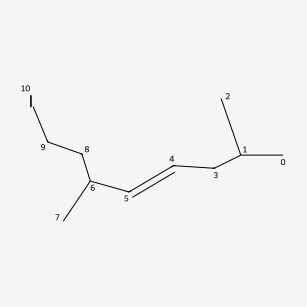 CC(C)CC=CC(C)CCI